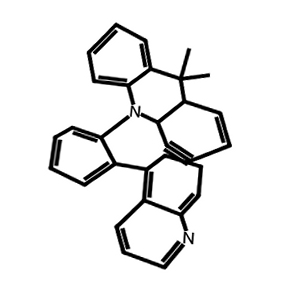 CC1(C)c2ccccc2N(c2ccccc2C2=c3cccnc3=CCC2)C2C#CC=CC21